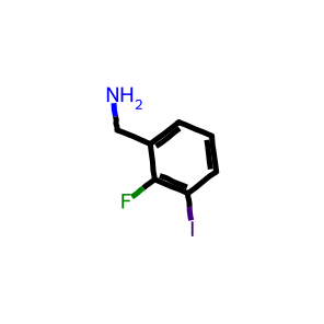 NCc1cccc(I)c1F